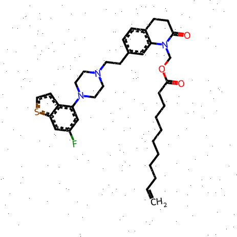 C=CCCCCCCCCC(=O)OCN1C(=O)CCc2ccc(CCN3CCN(c4cc(F)cc5sccc45)CC3)cc21